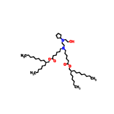 CCCCCCCCC(CCCCCC)COC(=O)CCCCCN(CCCCCC(=O)OCC(CCCCCC)CCCCCCCC)CCN(CCO)C1CCCC1